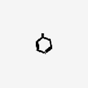 [C]1=CNCC=N1